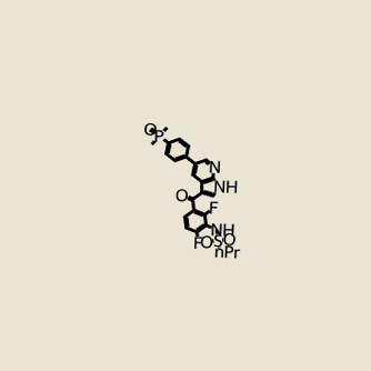 CCCS(=O)(=O)Nc1c(F)ccc(C(=O)c2c[nH]c3ncc(-c4ccc(P(C)(C)=O)cc4)cc23)c1F